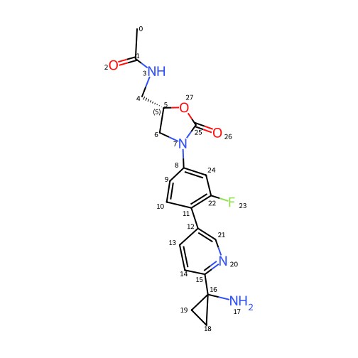 CC(=O)NC[C@H]1CN(c2ccc(-c3ccc(C4(N)CC4)nc3)c(F)c2)C(=O)O1